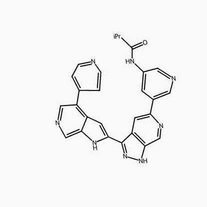 CC(C)C(=O)Nc1cncc(-c2cc3c(-c4cc5c(-c6ccncc6)cncc5[nH]4)n[nH]c3cn2)c1